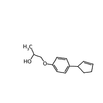 CC(O)COc1ccc(C2C=CCC2)cc1